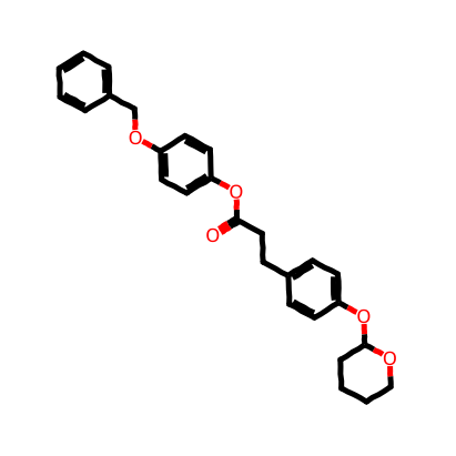 O=C(CCc1ccc(OC2CCCCO2)cc1)Oc1ccc(OCc2ccccc2)cc1